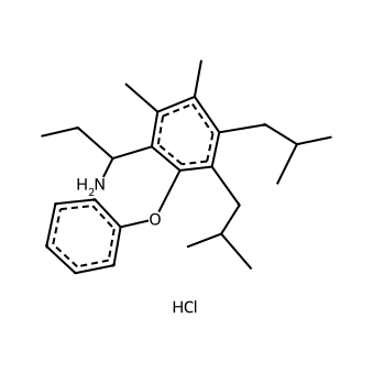 CCC(N)c1c(C)c(C)c(CC(C)C)c(CC(C)C)c1Oc1ccccc1.Cl